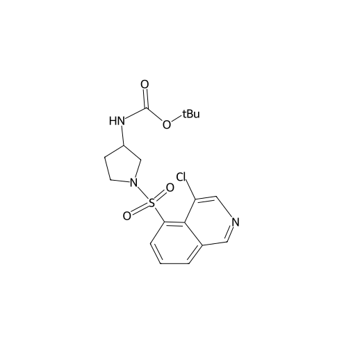 CC(C)(C)OC(=O)NC1CCN(S(=O)(=O)c2cccc3cncc(Cl)c23)C1